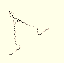 CCCCC/C=C\C/C=C\CCCCCCCCOCC(COCCCCCCCC/C=C\C/C=C\CCCCC)N1CCOCC1